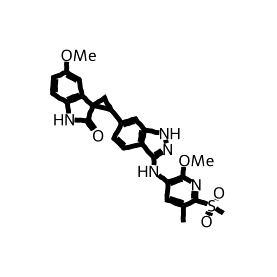 COc1ccc2c(c1)C1(CC1c1ccc3c(Nc4cc(C)c(S(C)(=O)=O)nc4OC)n[nH]c3c1)C(=O)N2